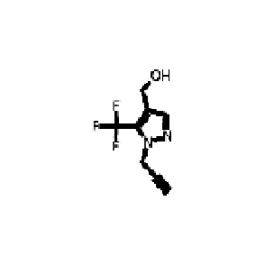 C#CCn1ncc(CO)c1C(F)(F)F